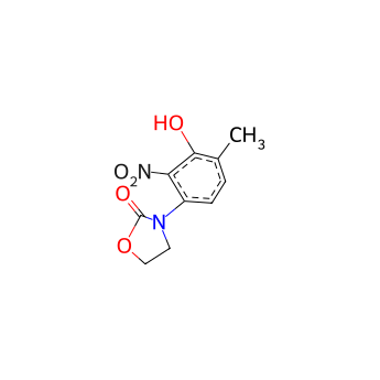 Cc1ccc(N2CCOC2=O)c([N+](=O)[O-])c1O